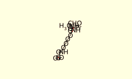 CC(C)C(NC(=O)CCOCCOCCOCCOCCNC(=O)CCN1C(=O)C=CC1=O)C(=O)N[C@@H](C)C=O